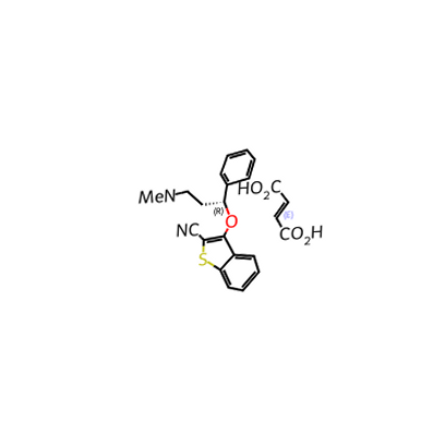 CNCC[C@@H](Oc1c(C#N)sc2ccccc12)c1ccccc1.O=C(O)/C=C/C(=O)O